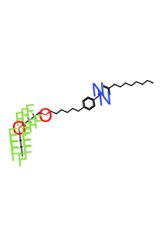 CCCCCCCCc1cnc(-c2ccc(CCCCCCOCC(F)(F)C(F)(F)C(F)(F)OC(F)(F)C(F)(F)C(F)(F)C(F)(F)F)cc2)nc1